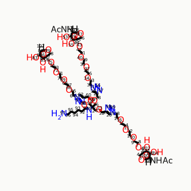 CC(=O)N[C@H]1[C@H]2OC[C@](COCCOCCOCCOCCn3cc(COCC(COCc4cn(CCOCCOCCOCCOC[C@@]56CO[C@@H](O5)[C@H](NC(C)=O)[C@@H](O)[C@H]6O)nn4)(COCc4cn(CCOCCOCCOCCOC[C@]56CO[C@H](C[C@@H](O)[C@H]5O)O6)nn4)NC(=O)CCCCCN)nn3)(O2)[C@H](O)[C@@H]1O